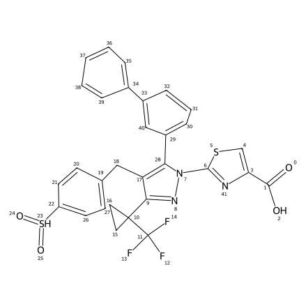 O=C(O)c1csc(-n2nc(C3(C(F)(F)F)CC3)c(Cc3ccc([SH](=O)=O)cc3)c2-c2cccc(-c3ccccc3)c2)n1